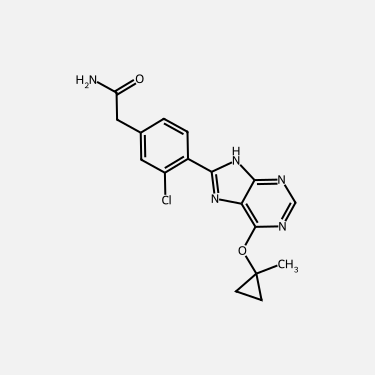 CC1(Oc2ncnc3[nH]c(-c4ccc(CC(N)=O)cc4Cl)nc23)CC1